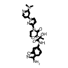 CN(C)c1cc(-n2ccc(N3CCO[C@H](C(C)(O)C(=O)Nc4ccc5c(N)noc5c4)C3=O)n2)ccn1